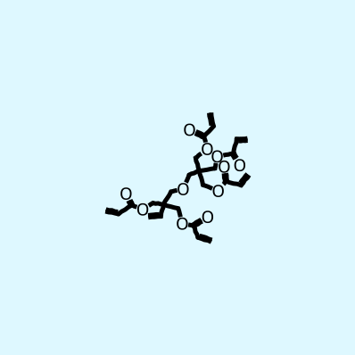 C=CC(=O)OCC(C=C)(COCC(COC(=O)C=C)(COC(=O)C=C)COC(=O)C=C)COC(=O)C=C